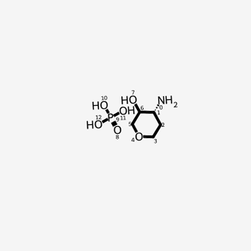 N[C@@H]1CCOCC1O.O=P(O)(O)O